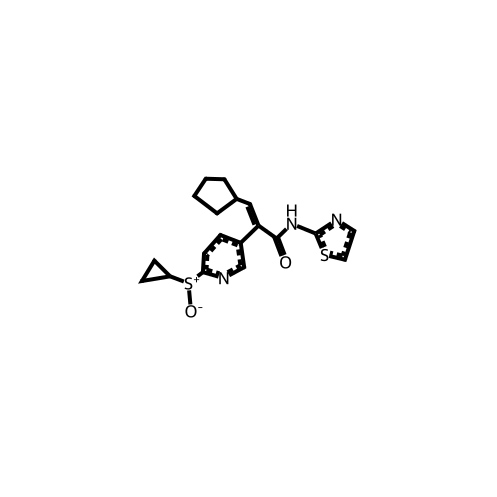 O=C(Nc1nccs1)/C(=C/C1CCCC1)c1ccc([S+]([O-])C2CC2)nc1